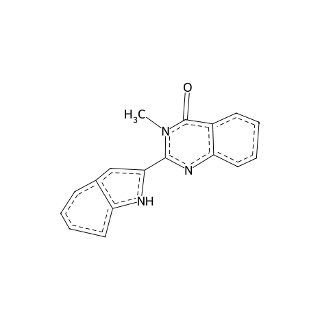 Cn1c(-c2cc3ccccc3[nH]2)nc2ccccc2c1=O